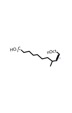 CCCCCCCC/C=C\C(C)CCCCCCC(=O)O